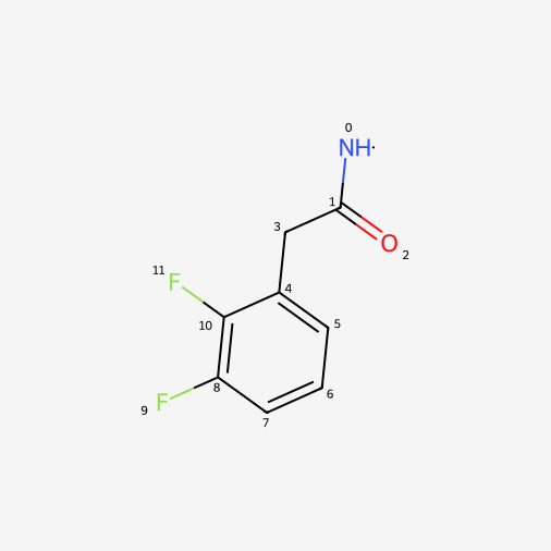 [NH]C(=O)Cc1cccc(F)c1F